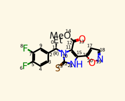 CC[C@H](c1ccc(F)c(F)c1)n1c(C(=O)OC)c(-c2ccno2)[nH]c1=S